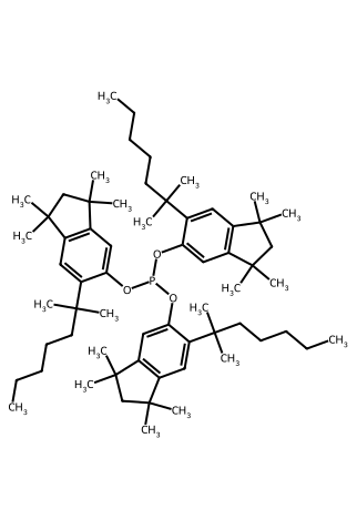 CCCCCC(C)(C)c1cc2c(cc1OP(Oc1cc3c(cc1C(C)(C)CCCCC)C(C)(C)CC3(C)C)Oc1cc3c(cc1C(C)(C)CCCCC)C(C)(C)CC3(C)C)C(C)(C)CC2(C)C